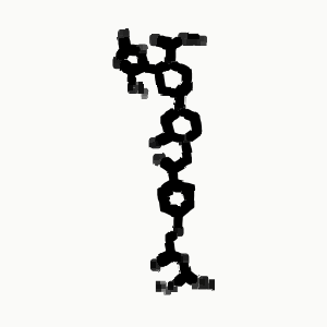 CCCCC(C)OC(=O)COc1ccc(C(=O)CN2CCN(C3CCN(C(=O)OC)C(c4oc(=O)oc4C)C3)CC2=O)cc1